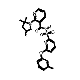 Cc1cccc(Oc2cccc(S(=O)(=O)NC(=O)c3cccnc3N3CC(C)CC3(C)C)n2)c1